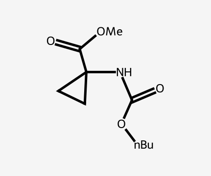 CCCCOC(=O)NC1(C(=O)OC)CC1